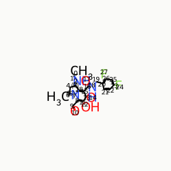 CCN[C@@H]1C[C@H](C)n2c(C=O)c(O)c(=O)c(C(=O)NCc3ccc(F)cc3F)c21